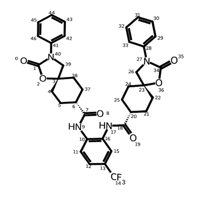 O=C1O[C@]2(CC[C@@H](C(=O)Nc3ccc(C(F)(F)F)cc3NC(=O)[C@H]3CC[C@@]4(CC3)CN(c3ccccc3)C(=O)O4)CC2)CN1c1ccccc1